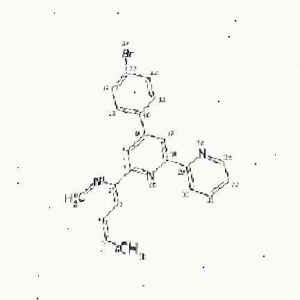 C=N/C(=C\C=C/C)c1cc(-c2ccc(Br)cc2)cc(-c2ccccn2)n1